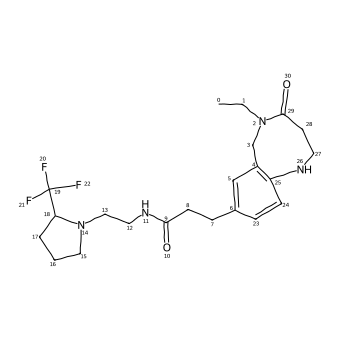 CCN1Cc2cc(CCC(=O)NCCN3CCCC3C(F)(F)F)ccc2NCCC1=O